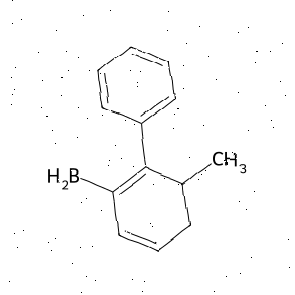 BC1=C(c2ccccc2)C(C)CC=C1